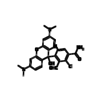 CN(C)c1ccc2c(c1)Oc1cc(N(C)C)ccc1C2(O)c1c(Cl)cc(C(N)=O)c(Cl)c1C=O